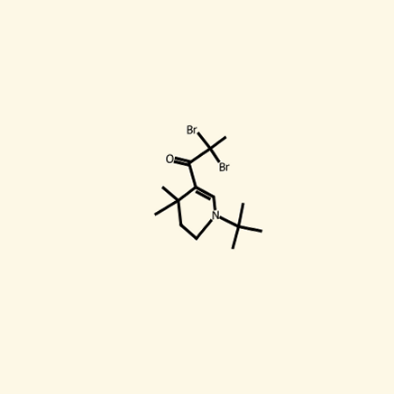 CC(Br)(Br)C(=O)C1=CN(C(C)(C)C)CCC1(C)C